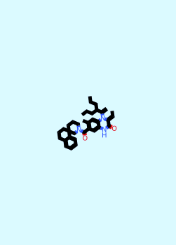 C=C(C(CCC)CCC)N1/C(=C\C)C(=O)Nc2cc(C(=O)N3CCCC4(CCCc5ccccc54)C3)c(C)cc21